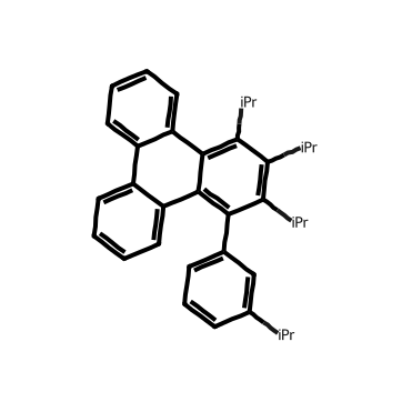 CC(C)c1cccc(-c2c(C(C)C)c(C(C)C)c(C(C)C)c3c4ccccc4c4ccccc4c23)c1